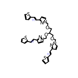 C(=C\c1cccs1)/c1ccn(COCC(COCn2ccc(/C=C/c3cccs3)n2)OCn2ccc(/C=C/c3cccs3)n2)n1